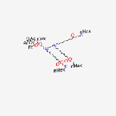 CCCCCC/C=C\CCC(=O)CCCCCCCCN(CCCCCCCCC(=O)OC/C=C\CCCCCC)CCCN(CCCCCCCCC(=O)OC/C=C\CCCCCC)CCCOC1OC(CC)C(OC(C)=O)C(OC(C)=O)C1OC(C)=O